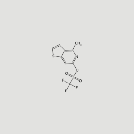 Cc1nc(OS(=O)(=O)C(F)(F)F)cc2sccc12